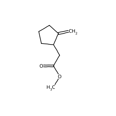 C=C1CCCC1CC(=O)OC